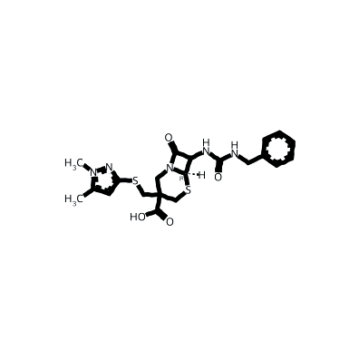 Cc1cc(SCC2(C(=O)O)CS[C@@H]3C(NC(=O)NCc4ccccc4)C(=O)N3C2)nn1C